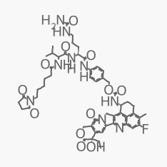 CC[C@@]1(O)C(=O)OCc2c1cc1n(c2=O)Cc2c-1nc1cc(F)c(C)c3c1c2[C@@H](NC(=O)OCc1ccc(NC(=O)[C@H](CCCNC(N)=O)NC(=O)C(NC(=O)CCCCCN2C(=O)CCC2=O)C(C)C)cc1)CC3